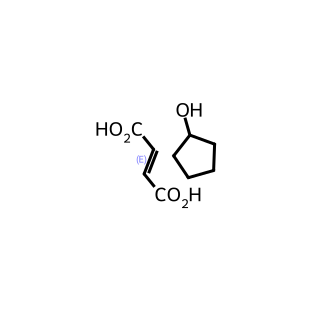 O=C(O)/C=C/C(=O)O.OC1CCCC1